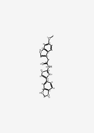 COc1ccc2c(CC(=O)Nc3nc(-c4ccc5c(c4)OCO5)cs3)coc2c1